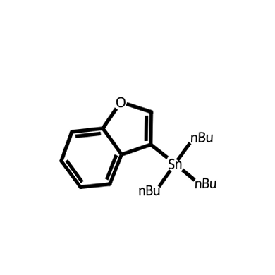 CCC[CH2][Sn]([CH2]CCC)([CH2]CCC)[c]1coc2ccccc12